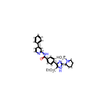 CCOC(=O)c1[nH]c([C@@H]2CCCCN2C(=O)O)nc1-c1ccc(C(=O)Nc2cc(-c3ccccc3)ccn2)cc1